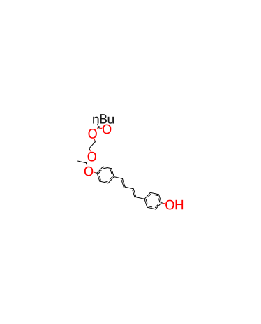 CCCCC(=O)OCCOC(C)Oc1ccc(C=CC=Cc2ccc(O)cc2)cc1